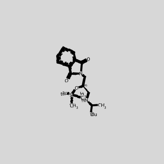 CC(NC[C@H](CN1C(=O)c2ccccc2C1=O)O[Si](C)(C)C(C)(C)C)C(C)(C)C